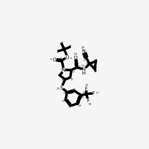 CC(C)(C)OC(=O)N1CC(Sc2cccc(C(F)(F)F)c2)CC1C(=O)NC1(C#N)CC1